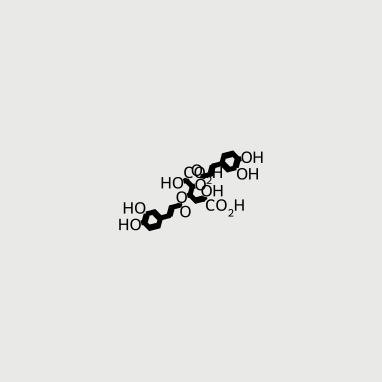 O=C(/C=C/c1ccc(O)c(O)c1)OC(/C=C(\O)C(=O)O)C(OC(=O)/C=C/c1ccc(O)c(O)c1)C(O)C(=O)O